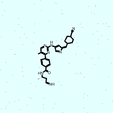 Cc1cnc(NC2=C/C(=C\C3CCC(C#N)CC3)N=C2)nc1-c1ccc(C(=O)N[C@@H](C)CC=N)cc1